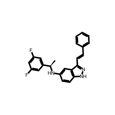 C[C@@H](Nc1ccc2[nH]nc(/C=C/c3ccccc3)c2c1)c1cc(F)cc(F)c1